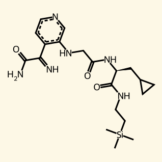 C[Si](C)(C)CCNC(=O)[C@H](CC1CC1)NC(=O)CNc1cnccc1C(=N)C(N)=O